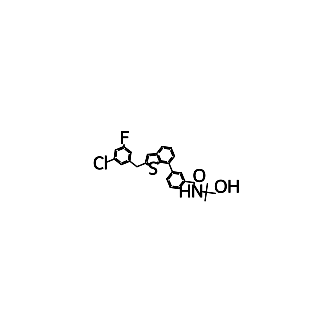 CC(C)(CO)NC(=O)c1cccc(-c2cccc3cc(Cc4cc(F)cc(Cl)c4)sc23)c1